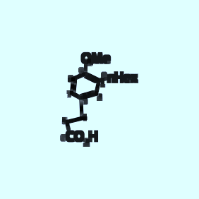 CCCCCCc1cc(CCC(=O)O)ccc1OC